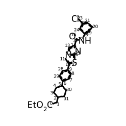 CCOC(=O)CC1CCC(c2ccc(-c3cn4cc(C(=O)Nc5cccc(Cl)c5)nc4s3)cc2)CC1